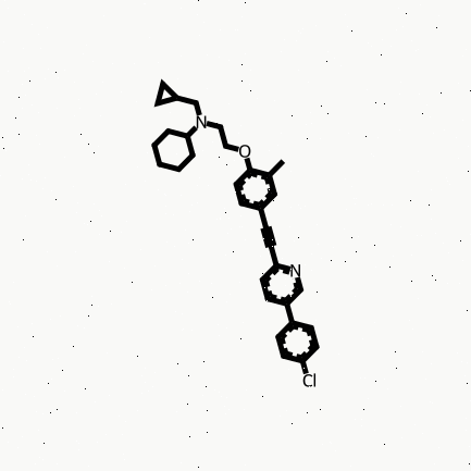 Cc1cc(C#Cc2ccc(-c3ccc(Cl)cc3)cn2)ccc1OCCN(CC1CC1)C1CCCCC1